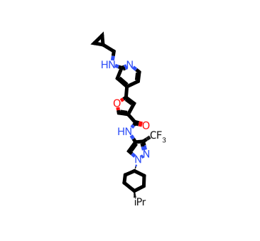 CC(C)[C@H]1CC[C@H](n2cc(NC(=O)c3coc(-c4ccnc(NCC5CC5)c4)c3)c(C(F)(F)F)n2)CC1